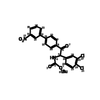 CC(C)(C)OC(=O)NC(C(=O)c1ccc(-c2cccc([N+](=O)[O-])c2)cc1)c1ccc(Cl)c(Cl)c1